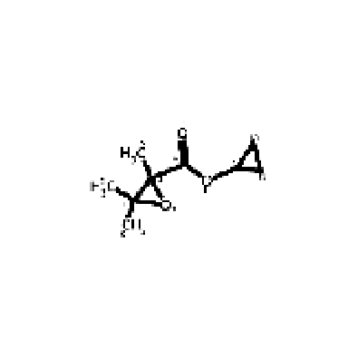 CC1(C)OC1(C)C(=O)OC1CC1